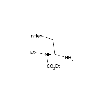 CCCCCCCCN.CCNC(=O)OCC